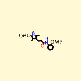 COc1ccccc1NC(=O)CCc1c(C)c(C=O)n(C)c1C